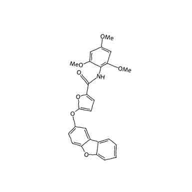 COc1cc(OC)c(NC(=O)c2ccc(Oc3ccc4oc5ccccc5c4c3)o2)c(OC)c1